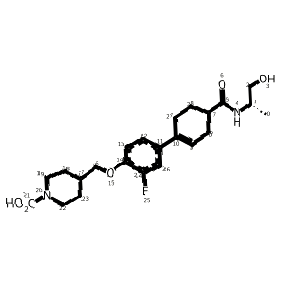 C[C@@H](CO)NC(=O)C1CC=C(c2ccc(OCC3CCN(C(=O)O)CC3)c(F)c2)CC1